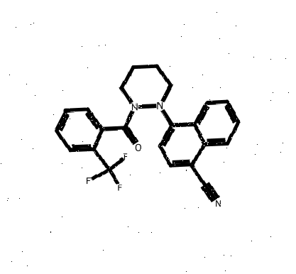 N#Cc1ccc(N2CCCCN2C(=O)c2ccccc2C(F)(F)F)c2ccccc12